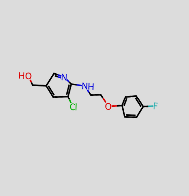 OCc1cnc(NCCOc2ccc(F)cc2)c(Cl)c1